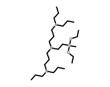 CCCN(CCC)CCCN(CCCN(CCC)CCC)CC[Si](C)(OCC)OCC